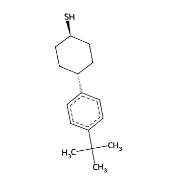 CC(C)(C)c1ccc([C@H]2CC[C@H](S)CC2)cc1